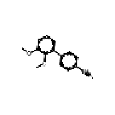 COc1cccc(-c2ccc([N+]#N)cc2)c1OC